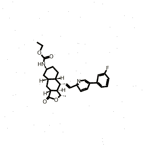 CCOC(=O)N[C@H]1CC[C@H]2[C@@H](C1)C[C@H]1C(=O)O[C@@H](C)[C@@H]1[C@H]2/C=C/c1ccc(-c2cccc(F)c2)cn1